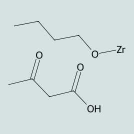 CC(=O)CC(=O)O.CCCC[O][Zr]